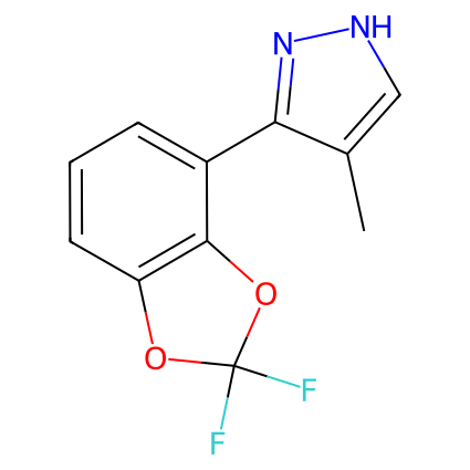 Cc1c[nH]nc1-c1cccc2c1OC(F)(F)O2